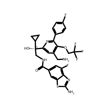 NCc1cc([C@@](O)(CNC(=O)c2cc(F)c3nc(N)sc3c2)C2CC2)nc(-c2ccc(F)cc2)c1OCC(F)(F)F